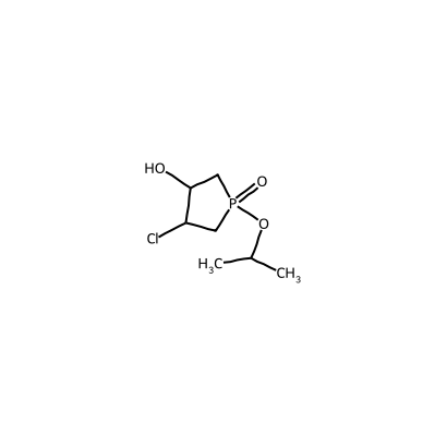 CC(C)OP1(=O)CC(O)C(Cl)C1